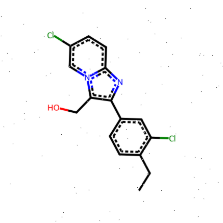 CCc1ccc(-c2nc3ccc(Cl)cn3c2CO)cc1Cl